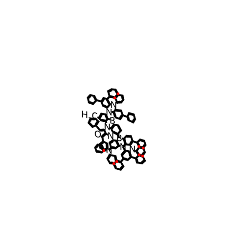 Cc1cc2c3c(c1)N1c4c(ccc5c4N(c4cc(N(c6ccccc6)c6ccccc6)cc6c4B5c4ccc(-c5ccccc5)c5c4N6c4cc(-c6ccccc6)cc(-c6ccccc6)c4N5c4ccccc4)c4c(-c5ccccc5)oc(-c5ccccc5)c41)B3c1cc(-c3ccccc3)cc3c1N2c1cc(-c2ccccc2)cc(-c2ccccc2)c1N3c1ccccc1